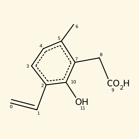 C=Cc1ccc(C)c(CC(=O)O)c1O